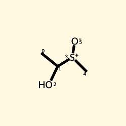 CC(O)[S+](C)[O-]